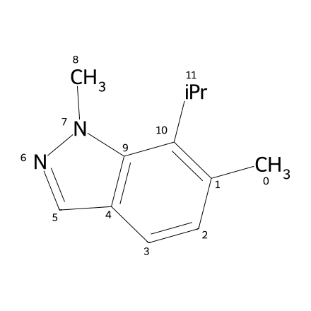 Cc1ccc2cnn(C)c2c1C(C)C